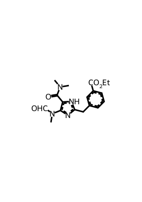 CCOC(=O)c1cccc(Cc2nc(N(C)C=O)c(C(=O)N(C)C)[nH]2)c1